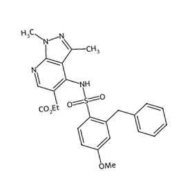 CCOC(=O)c1cnc2c(c(C)nn2C)c1NS(=O)(=O)c1ccc(OC)cc1Cc1ccccc1